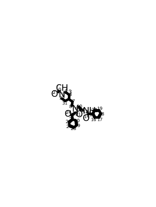 CC(=O)N1CCC(CCN2C=C(NC(=O)c3ccccc3)OC2C(=O)c2ccccc2)CC1